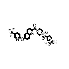 O=C(c1ccc2cc(Oc3ccc(C(F)(F)F)cn3)ccc2n1)N1CCN(S(=O)(=O)C2CCS(O)(O)C2)CC1